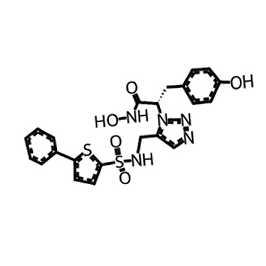 O=C(NO)[C@H](Cc1ccc(O)cc1)n1nncc1CNS(=O)(=O)c1ccc(-c2ccccc2)s1